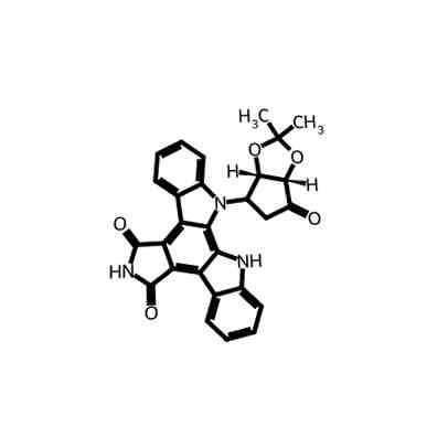 CC1(C)O[C@@H]2C(=O)CC(n3c4ccccc4c4c5c(c6c7ccccc7[nH]c6c43)C(=O)NC5=O)[C@@H]2O1